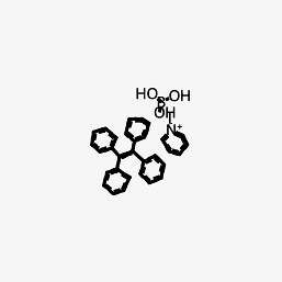 I[n+]1ccccc1.OB(O)O.c1ccc(C(=C(c2ccccc2)c2ccccc2)c2ccccc2)cc1